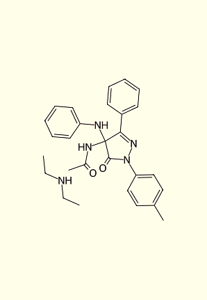 CC(=O)NC1(Nc2ccccc2)C(=O)N(c2ccc(C)cc2)N=C1c1ccccc1.CCNCC